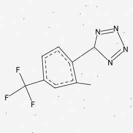 Cc1cc(C(F)(F)F)ccc1C1N=NN=N1